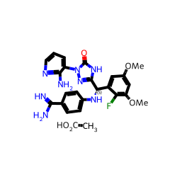 CC(=O)O.COc1cc(OC)c(F)c([C@H](Nc2ccc(C(=N)N)cc2)c2nn(-c3cccnc3N)c(=O)[nH]2)c1